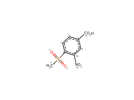 CS(=O)(=O)c1ccc(C(=O)O)cc1[N+](=O)[O-]